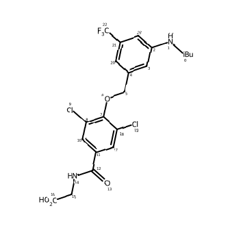 CCC(C)Nc1cc(COc2c(Cl)cc(C(=O)NCC(=O)O)cc2Cl)cc(C(F)(F)F)c1